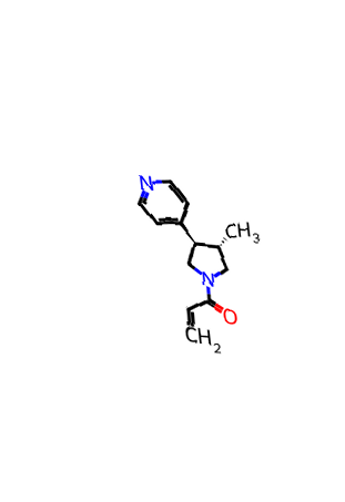 C=CC(=O)N1C[C@@H](C)[C@H](c2ccncc2)C1